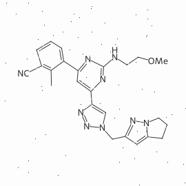 COCCNc1nc(-c2cn(Cc3cc4n(n3)CCC4)nn2)cc(-c2cccc(C#N)c2C)n1